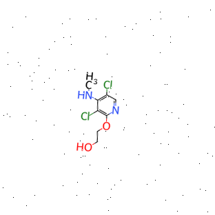 CNc1c(Cl)cnc(OCCO)c1Cl